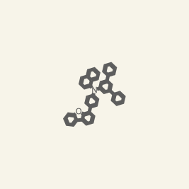 c1ccc(-c2cc(-c3ccccc3)cc(N(c3ccc(-c4cccc5c4oc4ccccc45)cc3)c3cccc4ccccc34)c2)cc1